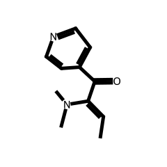 CC=C(C(=O)c1ccncc1)N(C)C